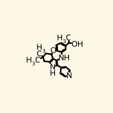 CC(O)c1cccc(Nc2c(-c3ccncc3)[nH]c3c2C(=O)CC(C)(C)C3)c1